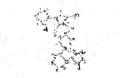 CCCc1cn(-c2ccccc2I)c(=O)n1Cc1ccc(-c2cnccc2-c2nnn[nH]2)cc1